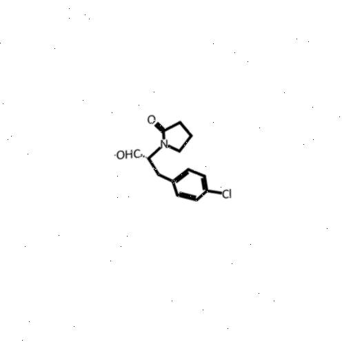 O=[C][C@@H](Cc1ccc(Cl)cc1)N1CCCC1=O